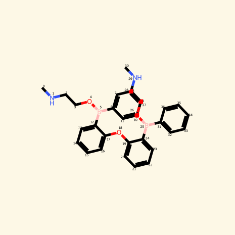 CNCCOB(c1ccccc1)c1ccccc1Oc1ccccc1B(OCCNC)c1ccccc1